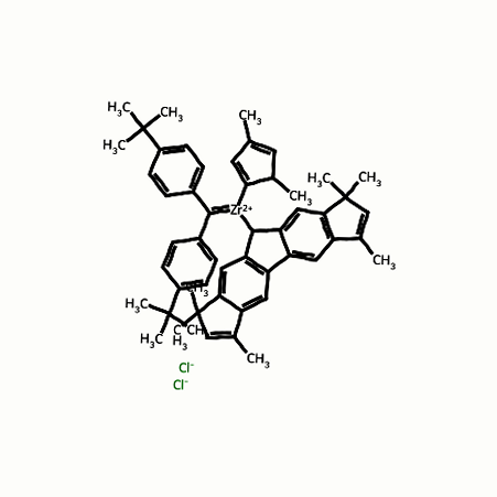 CC1=CC(C)[C]([Zr+2](=[C](c2ccc(C(C)(C)C)cc2)c2ccc(C(C)(C)C)cc2)[CH]2c3cc4c(cc3-c3cc5c(cc32)C(C)(C)C=C5C)C(C)=CC4(C)C)=C1.[Cl-].[Cl-]